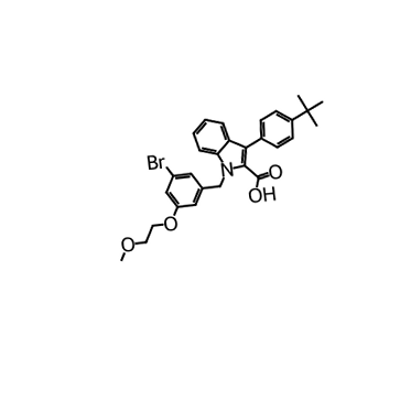 COCCOc1cc(Br)cc(Cn2c(C(=O)O)c(-c3ccc(C(C)(C)C)cc3)c3ccccc32)c1